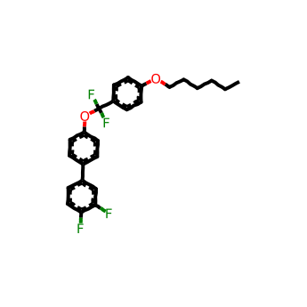 CCCCCCOc1ccc(C(F)(F)Oc2ccc(-c3ccc(F)c(F)c3)cc2)cc1